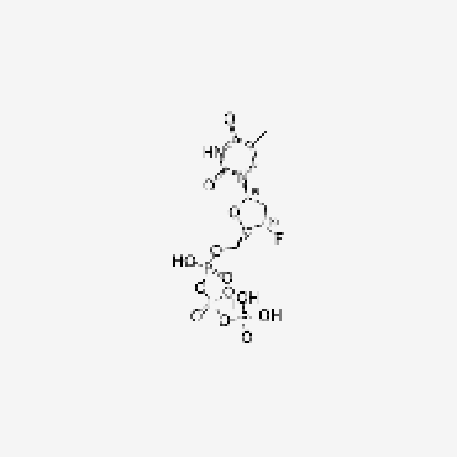 Cc1cn([C@H]2C[C@H](F)[C@@H](COP(=O)(O)OP(=O)(O)OP(=O)(O)O)O2)c(=O)[nH]c1=O